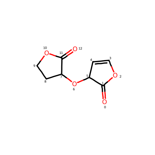 O=C1OC=CC1OC1CCOC1=O